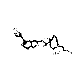 CC(C)CN1CCC(F)(C(=O)Nc2cc3cc(-c4cnn(C)c4)ncc3cn2)CC1